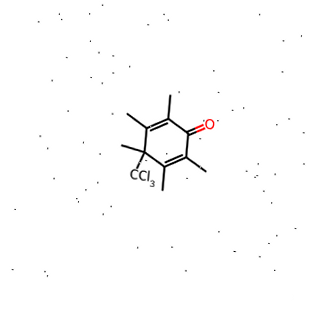 CC1=C(C)C(C)(C(Cl)(Cl)Cl)C(C)=C(C)C1=O